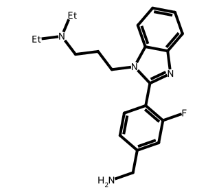 CCN(CC)CCCn1c(-c2ccc(CN)cc2F)nc2ccccc21